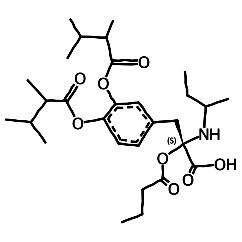 CCCC(=O)O[C@](Cc1ccc(OC(=O)C(C)C(C)C)c(OC(=O)C(C)C(C)C)c1)(NC(C)CC)C(=O)O